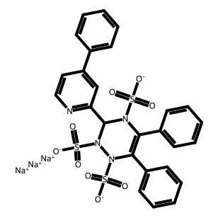 O=S(=O)([O-])N1C(c2ccccc2)=C(c2ccccc2)N(S(=O)(=O)[O-])N(S(=O)(=O)[O-])C1c1cc(-c2ccccc2)ccn1.[Na+].[Na+].[Na+]